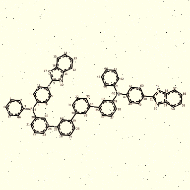 c1ccc(N(c2ccc(-c3nc4ccccc4s3)cc2)c2cccc(-c3cccc(-c4cccc(-c5cccc(N(c6ccccc6)c6ccc(-c7nc8ccccc8s7)cc6)c5)c4)c3)c2)cc1